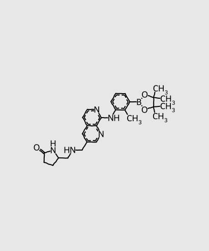 Cc1c(Nc2nccc3cc(CNCC4CCC(=O)N4)cnc23)cccc1B1OC(C)(C)C(C)(C)O1